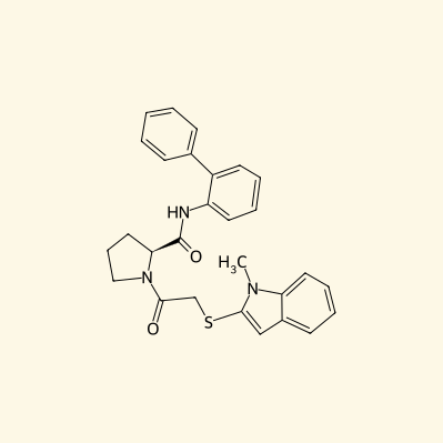 Cn1c(SCC(=O)N2CCC[C@H]2C(=O)Nc2ccccc2-c2ccccc2)cc2ccccc21